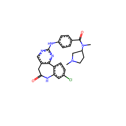 CN1CCC(N(C)C(=O)c2ccc(Nc3ncc4c(n3)-c3ccc(Cl)cc3NC(=O)C4)cc2)C1